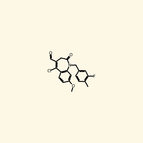 COc1ccc2c(c1)N(Cc1ccc(C)c(F)c1)C(=O)CC(C=O)=C2Cl